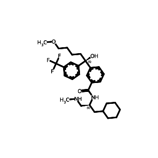 CNC[C@H](CC1CCCCC1)NC(=O)c1cccc([C@@](O)(CCCCOC)c2cccc(C(F)(F)F)c2)c1